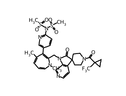 CC1=CC=CN(C)C(CN2C(=O)C3(CCN(C(=O)C4(C(F)(F)F)CC4)CC3)c3ccncc32)=C1c1ccc(N(S(C)(=O)=O)S(C)(=O)=O)nc1